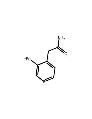 BC(=O)Cc1ccbcc1C(C)(C)C